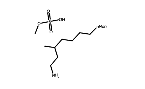 CCCCCCCCCCCCCC(C)CCN.COS(=O)(=O)O